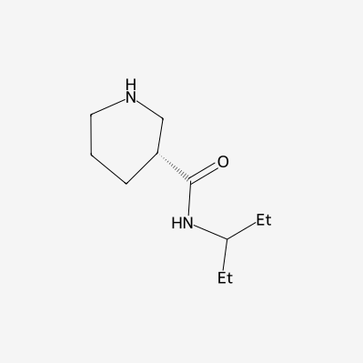 CCC(CC)NC(=O)[C@@H]1CCCNC1